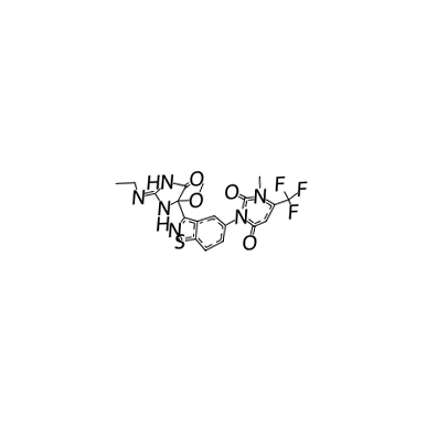 CCN=C1NC(=O)C(OC)(c2nsc3ccc(-n4c(=O)cc(C(F)(F)F)n(C)c4=O)cc23)N1